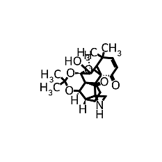 CC1(C)O[C@@H]2[C@H]3CCC4[C@@]56CO[C@](O1)([C@@H](O)C5C(C)(C)C=CC6=O)[C@]42C(=O)C31CN1